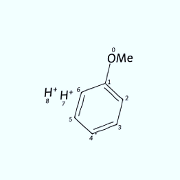 COc1cc[c]cc1.[H+].[H+]